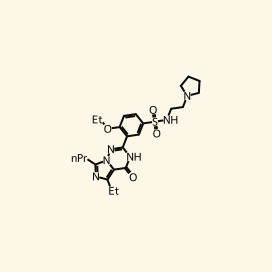 CCCc1nc(CC)c2c(=O)[nH]c(-c3cc(S(=O)(=O)NCCN4CCCC4)ccc3OCC)nn12